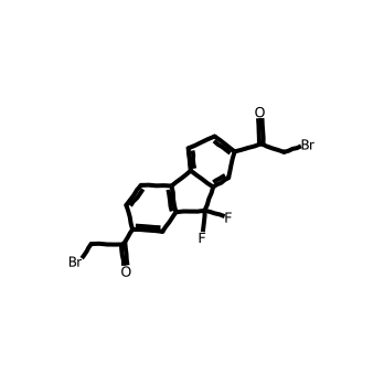 O=C(CBr)c1ccc2c(c1)C(F)(F)c1cc(C(=O)CBr)ccc1-2